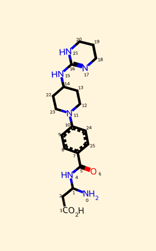 NC(CC(=O)O)NC(=O)c1ccc(N2CCC(NC3=NCCCN3)CC2)cc1